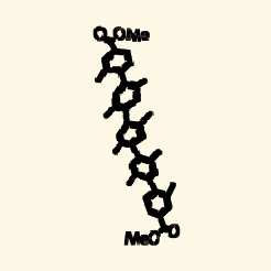 COC(=O)c1ccc(-c2cc(C)c(-c3cc(C)c(-c4cc(C)c(-c5ccc(C(=O)OC)cc5C)cc4C)cc3C)cc2C)c(C)c1